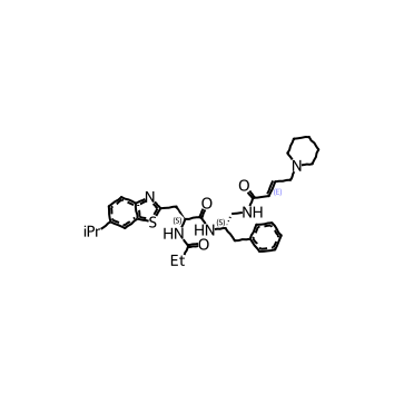 CCC(=O)N[C@@H](Cc1nc2ccc(C(C)C)cc2s1)C(=O)N[C@H](CNC(=O)/C=C/CN1CCCCC1)Cc1ccccc1